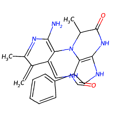 C=c1c(C)nc(N)c(N2C3=C(NCC3c3ccccc3)NC(=O)C2C)c1=CNC=O